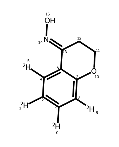 [2H]c1c([2H])c([2H])c2c(c1[2H])OCC/C2=N\O